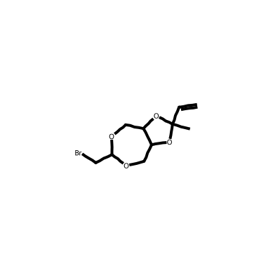 C=CC1(C)OC2COC(CBr)OCC2O1